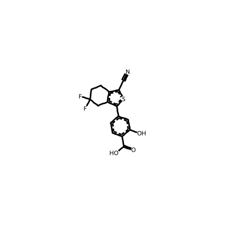 N#Cc1sc(-c2ccc(C(=O)O)c(O)c2)c2c1CCC(F)(F)C2